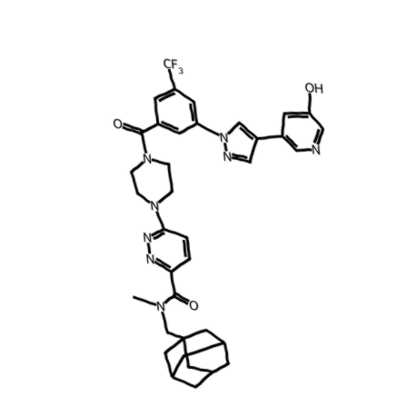 CN(CC12CC3CC(CC(C3)C1)C2)C(=O)c1ccc(N2CCN(C(=O)c3cc(-n4cc(-c5cncc(O)c5)cn4)cc(C(F)(F)F)c3)CC2)nn1